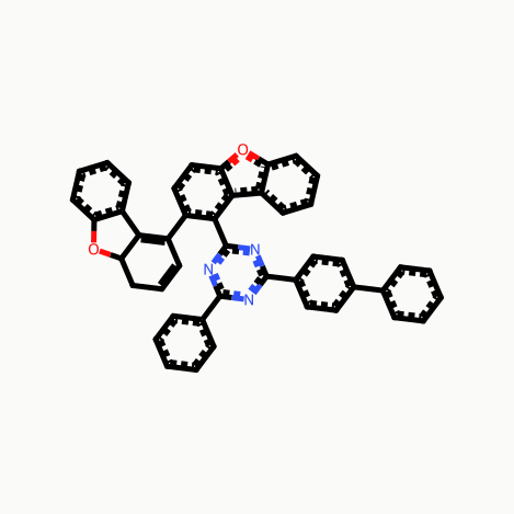 C1=CC(c2ccc3oc4ccccc4c3c2-c2nc(-c3ccccc3)nc(-c3ccc(-c4ccccc4)cc3)n2)=C2c3ccccc3OC2C1